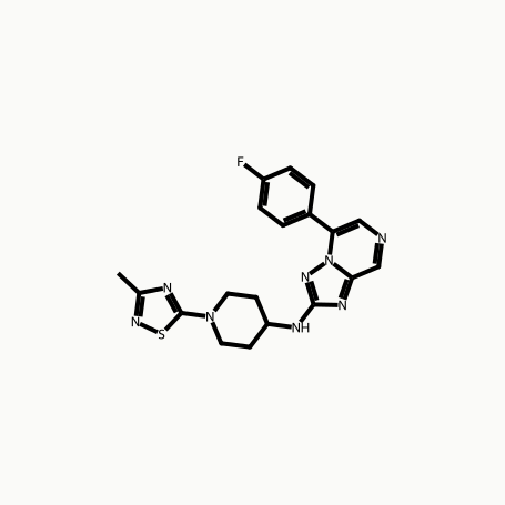 Cc1nsc(N2CCC(Nc3nc4cncc(-c5ccc(F)cc5)n4n3)CC2)n1